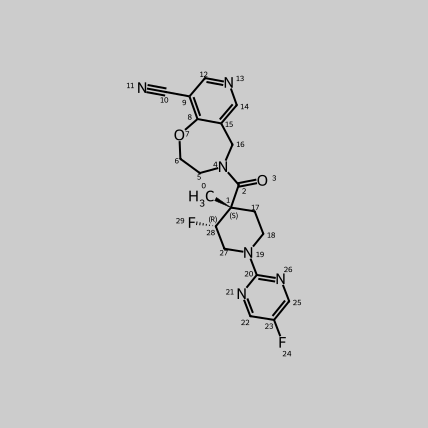 C[C@@]1(C(=O)N2CCOc3c(C#N)cncc3C2)CCN(c2ncc(F)cn2)C[C@@H]1F